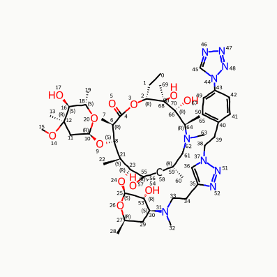 CC[C@H]1OC(=O)[C@H](C)[C@@H](O[C@H]2C[C@@](C)(OC)[C@@H](O)[C@H](C)O2)[C@H](C)[C@@H](O[C@@H]2O[C@H](C)C[C@H](N(C)CCc3cn(CCc4ccc(-n5cnnn5)cc4)nn3)[C@H]2O)[C@](C)(O)C[C@@H](C)CN(C)[C@H](C)[C@@H](O)[C@]1(C)O